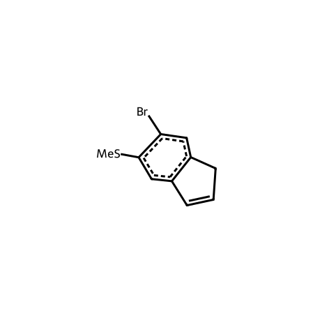 CSc1cc2c(cc1Br)CC=C2